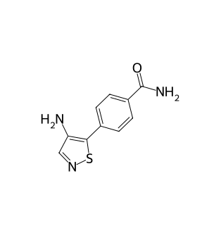 NC(=O)c1ccc(-c2sncc2N)cc1